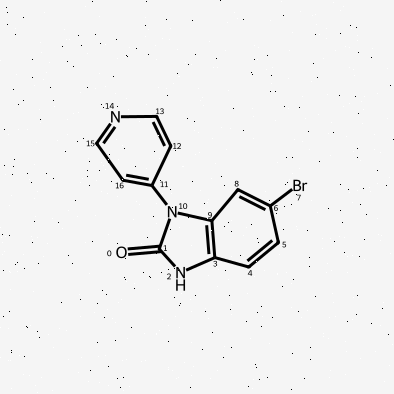 O=c1[nH]c2ccc(Br)cc2n1-c1ccncc1